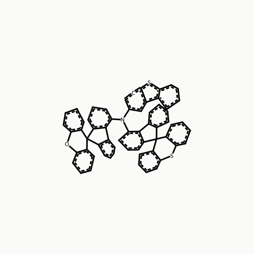 c1ccc2c(c1)Oc1ccccc1C21c2ccccc2-c2c(N(c3ccc4sc5ccccc5c4c3)c3cccc4c3-c3ccccc3C43c4ccccc4Sc4ccccc43)cccc21